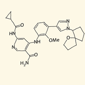 COc1c(Nc2cc(NC(=O)C3CC3)ncc2C(N)=O)cccc1-c1cnn(C2CCCC23CCCO3)c1